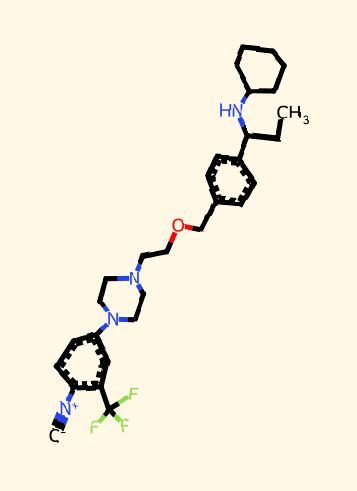 [C-]#[N+]c1ccc(N2CCN(CCOCc3ccc(C(CC)NC4CCCCC4)cc3)CC2)cc1C(F)(F)F